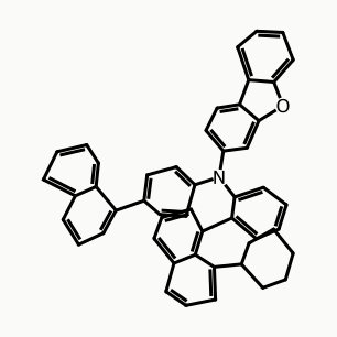 c1ccc(N(c2ccc(-c3cccc4ccccc34)cc2)c2ccc3c(c2)oc2ccccc23)c(-c2cccc3cccc(C4CCCCC4)c23)c1